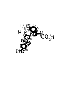 CCOc1ccc(S(=O)(=O)N2C[C@@H](C)[C@@H](n3cc(CC(=O)O)c4ccc(C)cc43)C2)cc1